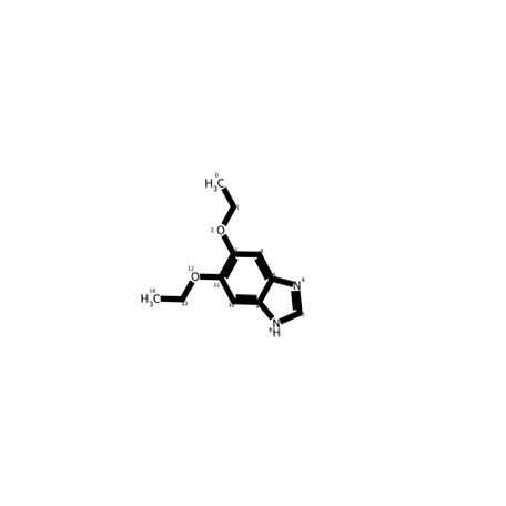 CCOc1cc2n[c][nH]c2cc1OCC